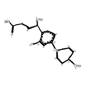 CNC(=O)CCC(C=O)c1ccc(N2CCC(C=O)CC2)cc1F